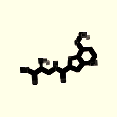 COC1CCNC2CC(C(=O)NC[C@@H](N)C(=O)O)SC21